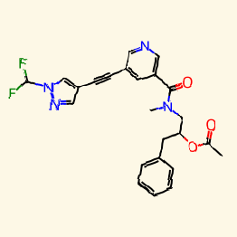 CC(=O)OC(Cc1ccccc1)CN(C)C(=O)c1cncc(C#Cc2cnn(C(F)F)c2)c1